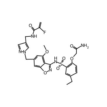 C=C(F)C(=O)NCc1cnn(Cc2cc(OC)c3c(NS(=O)(=O)c4cc(CC)ccc4OCC(N)=O)noc3c2)c1